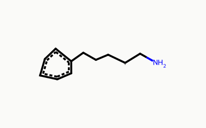 NC[CH]CCCc1ccccc1